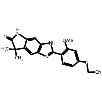 COc1cc(OCC#N)ccc1-c1nc2cc3c(cc2[nH]1)NC(=O)C3(C)C